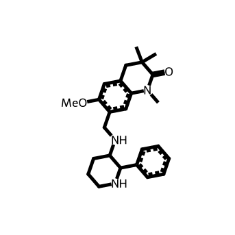 COc1cc2c(cc1CNC1CCCNC1c1ccccc1)N(C)C(=O)C(C)(C)C2